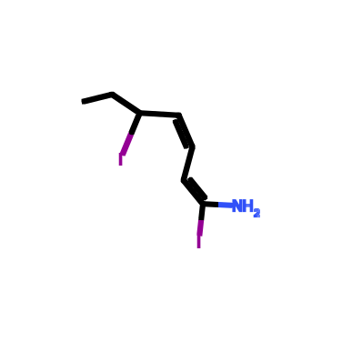 CCC(I)/C=C\C=C(/N)I